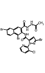 CC(=O)NNC(=O)c1cc2cc(Br)ccc2c(Br)c1NC(=O)c1cc(Br)nn1-c1ncccc1Cl